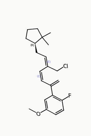 C=C(/C=C\C(=C/C[C@H]1CCCC1(C)C)CCl)c1cc(OC)ccc1F